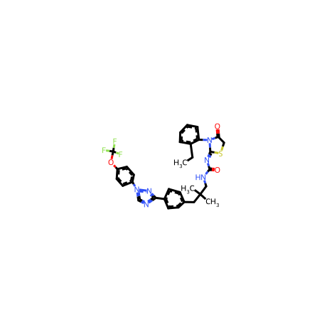 CCc1ccccc1N1C(=O)CS/C1=N\C(=O)NCC(C)(C)Cc1ccc(-c2ncn(-c3ccc(OC(F)(F)F)cc3)n2)cc1